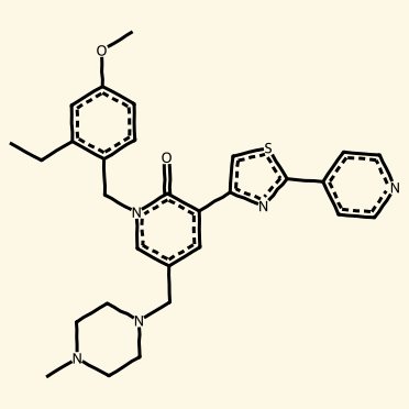 CCc1cc(OC)ccc1Cn1cc(CN2CCN(C)CC2)cc(-c2csc(-c3ccncc3)n2)c1=O